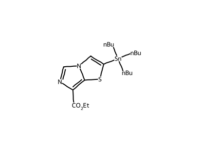 CCC[CH2][Sn]([CH2]CCC)([CH2]CCC)[c]1cn2cnc(C(=O)OCC)c2s1